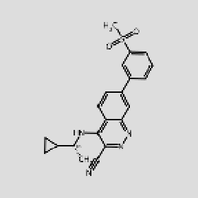 C[C@@H](Nc1c(C#N)nnc2cc(-c3cccc(S(C)(=O)=O)c3)ccc12)C1CC1